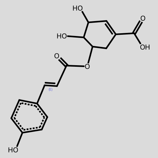 O=C(/C=C/c1ccc(O)cc1)OC1CC(C(=O)O)=CC(O)C1O